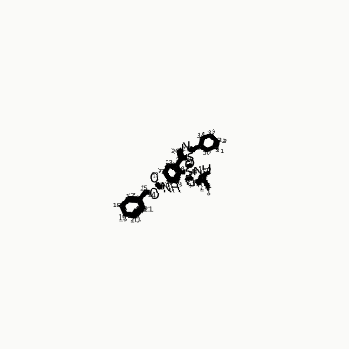 CC(C)(C)NS(=O)(=O)c1cc(NC(=O)OCC2=CCCC=C2)ccc1-c1cnc(C2CCCCC2)s1